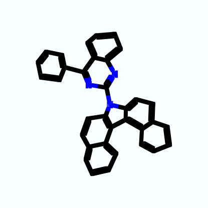 c1ccc(-c2nc(-n3c4ccc5ccccc5c4c4c5ccccc5ccc43)nc3ccccc23)cc1